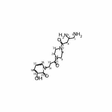 NCC(N)CC(=O)N1CCN(C(=O)CCn2cccc(O)c2=O)CC1